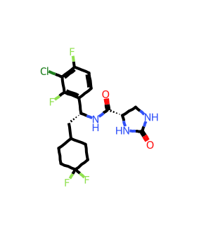 O=C1NC[C@@H](C(=O)N[C@H](CC2CCC(F)(F)CC2)c2ccc(F)c(Cl)c2F)N1